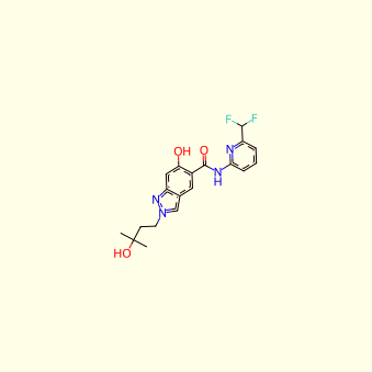 CC(C)(O)CCn1cc2cc(C(=O)Nc3cccc(C(F)F)n3)c(O)cc2n1